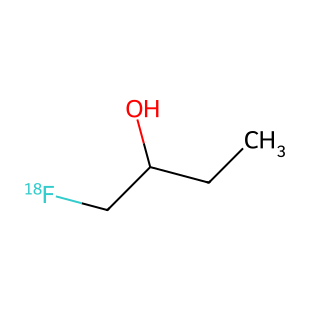 CCC(O)C[18F]